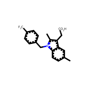 Cc1ccc2c(c1)c(CC(=O)O)c(C)n2Cc1ccc(C(F)(F)F)cc1